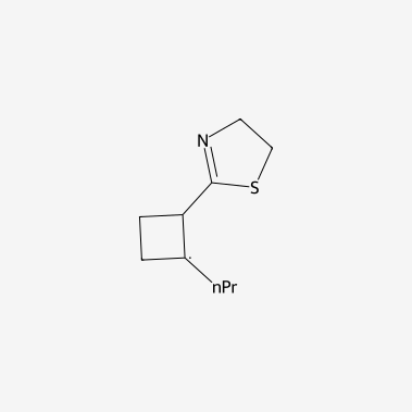 CCC[C]1CCC1C1=NCCS1